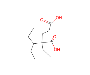 CCC(CC)C(CC)(CCC(=O)O)C(=O)O